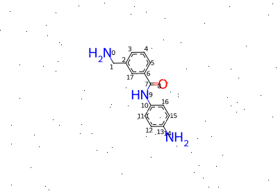 NCc1cccc(C(=O)Nc2ccc(N)cc2)c1